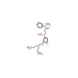 CCCC(CCC)COc1cc([C@H](O)CCN[C@@H](C)c2ccccc2)ccc1F